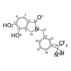 O=C1c2ccc(O)c(O)c2CN1Cc1cccc(C2(C(F)(F)F)N=N2)c1